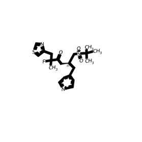 CC(F)(Cc1cscn1)C(=O)C[C@H](Cc1ccncc1)CS(=O)(=O)C(C)(C)C